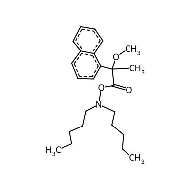 CCCCCN(CCCCC)OC(=O)C(C)(OC)c1cccc2ccccc12